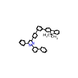 CC1(C)c2ccccc2-c2ccc(-c3cccc(-c4ccc(-c5cc(-c6ccccc6)nc(-c6cccc(-c7ccccc7)c6)n5)cc4)c3)cc21